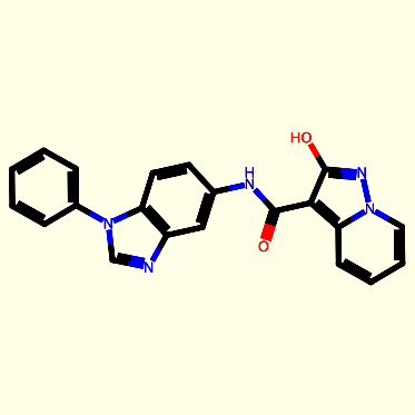 O=C(Nc1ccc2c(c1)ncn2-c1ccccc1)c1c(O)nn2ccccc12